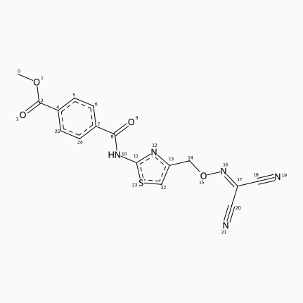 COC(=O)c1ccc(C(=O)Nc2nc(CON=C(C#N)C#N)cs2)cc1